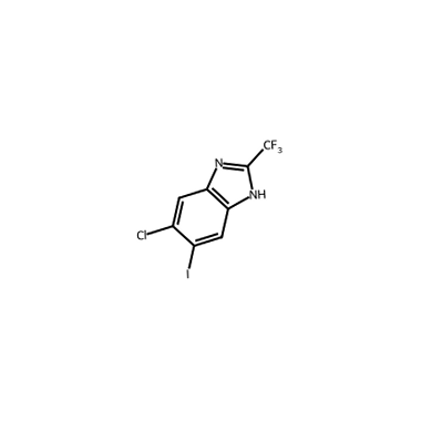 FC(F)(F)c1nc2cc(Cl)c(I)cc2[nH]1